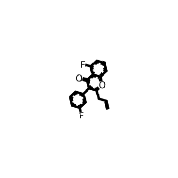 C=CCc1oc2cccc(F)c2c(=O)c1-c1cccc(F)c1